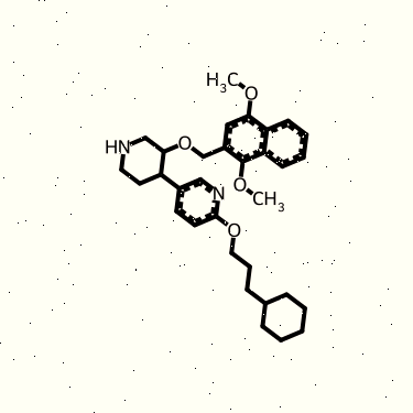 COc1cc(COC2CNCCC2c2ccc(OCCCC3CCCCC3)nc2)c(OC)c2ccccc12